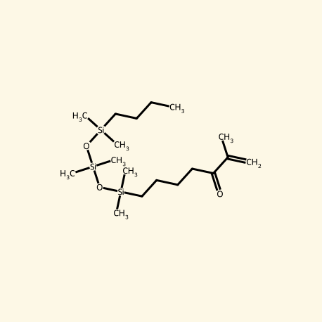 C=C(C)C(=O)CCCC[Si](C)(C)O[Si](C)(C)O[Si](C)(C)CCCC